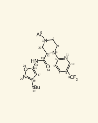 CC(=O)N1CCN(c2ccc(C(F)(F)F)cn2)C(C(=O)Nc2cc(C(C)(C)C)no2)C1